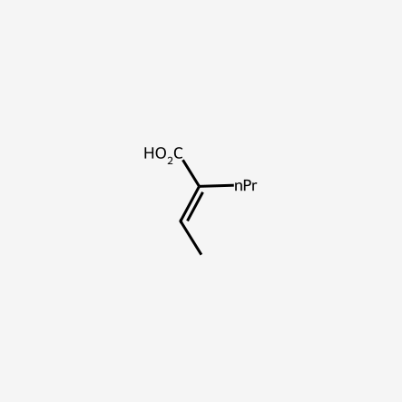 C/C=C(\CCC)C(=O)O